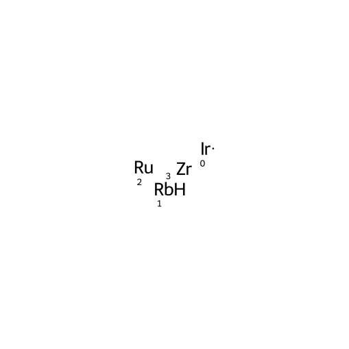 [Ir].[RbH].[Ru].[Zr]